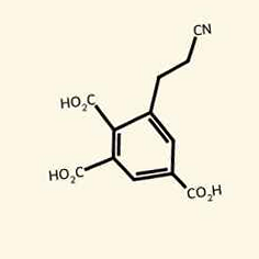 N#CCCc1cc(C(=O)O)cc(C(=O)O)c1C(=O)O